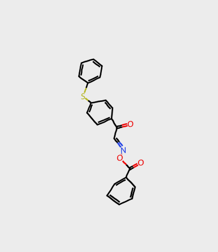 O=C(C=NOC(=O)c1ccccc1)c1ccc(Sc2ccccc2)cc1